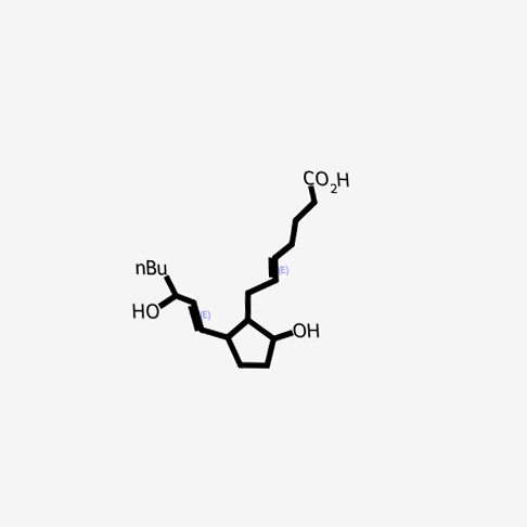 CCCCC(O)/C=C/C1CCC(O)C1C/C=C/CCCC(=O)O